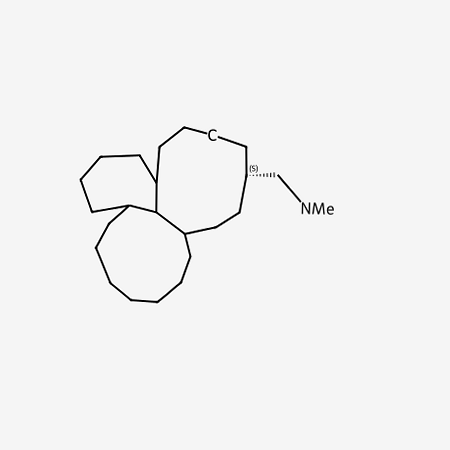 CNC[C@H]1CCCCC2CCCCC3CCCCCCCC(CC1)C32